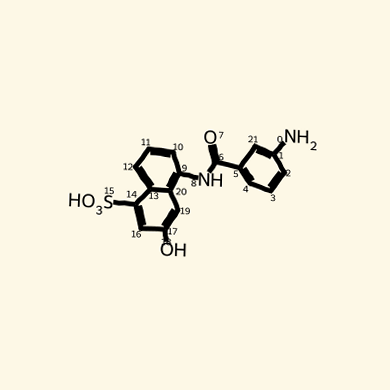 Nc1cccc(C(=O)Nc2cccc3c(S(=O)(=O)O)cc(O)cc23)c1